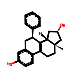 C[C@]12CCC3=C([C@H](c4ccccc4)Cc4cc(O)ccc43)[C@@H]1C[C@H](O)C2